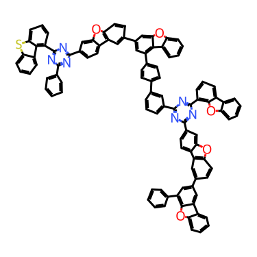 c1ccc(-c2nc(-c3ccc4c(c3)oc3ccc(-c5cc(-c6ccc(-c7cccc(-c8nc(-c9ccc%10c(c9)oc9ccc(-c%11cc(-c%12ccccc%12)c%12oc%13ccccc%13c%12c%11)cc9%10)nc(-c9cccc%10c9oc9ccccc9%10)n8)c7)cc6)c6c(c5)oc5ccccc56)cc34)nc(-c3cccc4sc5ccccc5c34)n2)cc1